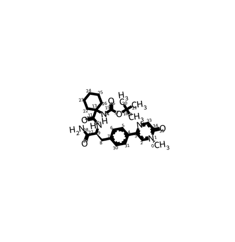 Cn1cc(-c2ccc(C[C@H](NC(=O)C3(NC(=O)OC(C)(C)C)CCCCC3)C(N)=O)cc2)ncc1=O